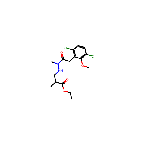 CCOC(=O)C(C)CNN(C)C(=O)Cc1c(Cl)ccc(Cl)c1OC